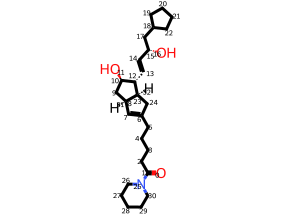 O=C(CCCCC1=C[C@H]2C[C@@H](O)[C@H](/C=C/[C@@H](O)CC3CCCC3)[C@H]2C1)N1CCCCC1